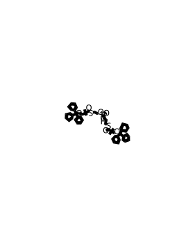 CC(C)(COC(c1ccccc1)(c1ccccc1)c1ccccc1)C(=O)SCCO[PH](=O)OCCSC(=O)C(C)(C)COC(c1ccccc1)(c1ccccc1)c1ccccc1